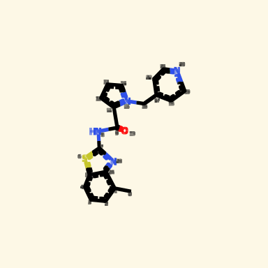 Cc1cccc2sc(NC(=O)c3cccn3Cc3ccncc3)nc12